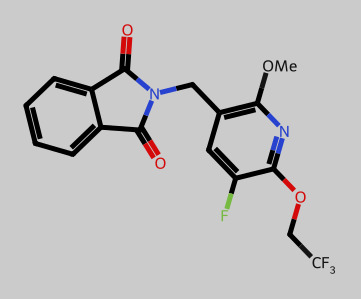 COc1nc(OCC(F)(F)F)c(F)cc1CN1C(=O)c2ccccc2C1=O